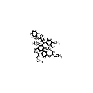 CCCn1nnc2c(C)c(C(c3ccc(C)c(CN4C[C@@H](CC)Oc5ccccc5S4(=O)=O)c3)C(C)(C)C(=O)Nc3cccnc3)ccc21